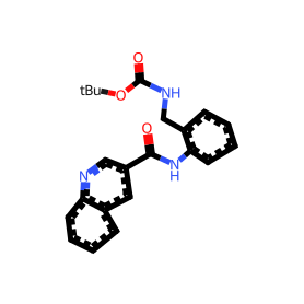 CC(C)(C)OC(=O)NCc1ccccc1NC(=O)c1cnc2ccccc2c1